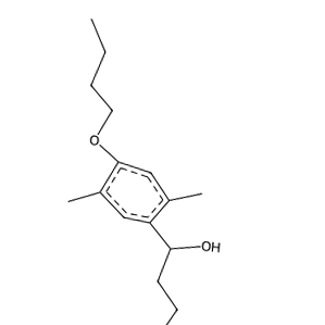 CCCCOc1cc(C)c(C(O)CCC)cc1C